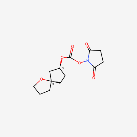 O=C(O[C@H]1CC[C@]2(CCCO2)C1)ON1C(=O)CCC1=O